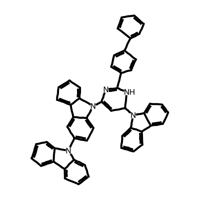 C1=C(n2c3ccccc3c3cc(-n4c5ccccc5c5ccccc54)ccc32)N=C(c2ccc(-c3ccccc3)cc2)NC1n1c2ccccc2c2ccccc21